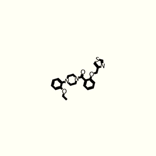 CCOc1ccccc1N1CCN(C(=O)c2ccccc2OCc2cscn2)CC1